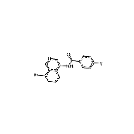 O=C(Nc1cncc2c(Br)cccc12)c1ccc(F)cc1